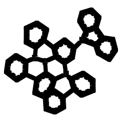 c1ccc(-c2ccccc2N2c3cccc4c3B3c5c(cc(-n6c7ccccc7c7ccccc76)cc52)-c2ccccc2N3c2ccccc2-4)cc1